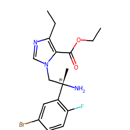 CCOC(=O)c1c(CC)ncn1C[C@](C)(N)c1cc(Br)ccc1F